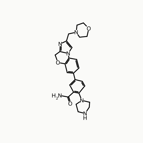 NC(=O)c1cc(-c2ccc3c(c2)OCc2nc(CN4CCOCC4)cn2-3)ccc1N1CCNCC1